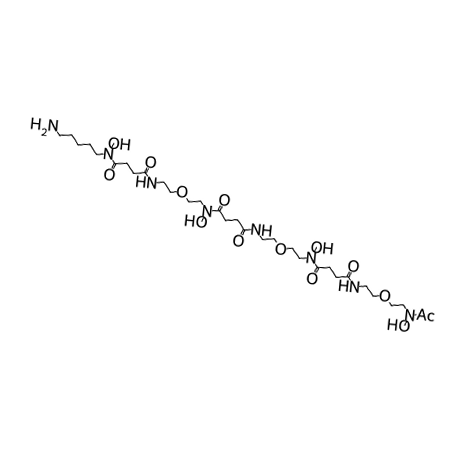 CC(=O)N(O)CCOCCNC(=O)CCC(=O)N(O)CCOCCNC(=O)CCC(=O)N(O)CCOCCNC(=O)CCC(=O)N(O)CCCCCN